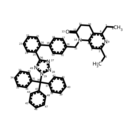 CCc1cc2c(c(CC)n1)CCC(=O)N2Cc1ccc(-c2ccccc2-c2nnn(C(c3ccccc3)(c3ccccc3)c3ccccc3)n2)cc1